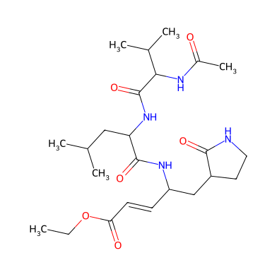 CCOC(=O)C=CC(CC1CCNC1=O)NC(=O)C(CC(C)C)NC(=O)C(NC(C)=O)C(C)C